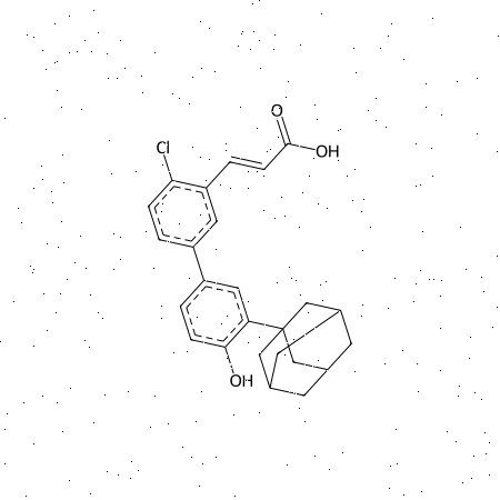 O=C(O)C=Cc1cc(-c2ccc(O)c(C34CC5CC(CC(C5)C3)C4)c2)ccc1Cl